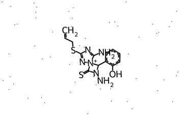 C=CCSC1=N[N+]2(C(=S)N(N)C2c2ccccc2O)C(N)=N1